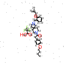 CCCCOc1ccc(CC(=O)N2CCC3(CCN(Cc4ccccc4OCC(C)C)C3)CC2)cc1.O=C(O)C(F)(F)F